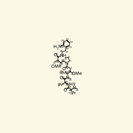 CC[C@H](C)[C@@H]([C@@H](CC(=O)N1CCC[C@H]1[C@H](OC)[C@@H](C)C(=O)NCCc1ccccc1N)OC)N(C)C(=O)[C@@H](NC(=O)[C@H](C(C)C)N(C)C)C(C)C